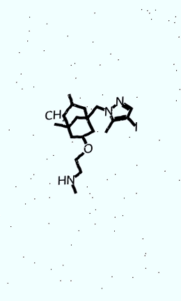 C.CNCCOC1CC2(C)CC(C)CC(Cn3ncc(I)c3C)(C1)C2